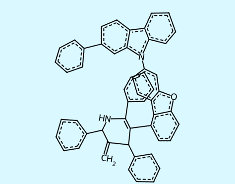 C=C1C(c2ccccc2)NC(c2ccccc2)=C(c2cccc3oc4cc(-n5c6ccccc6c6ccc(-c7ccccc7)cc65)ccc4c23)C1c1ccccc1